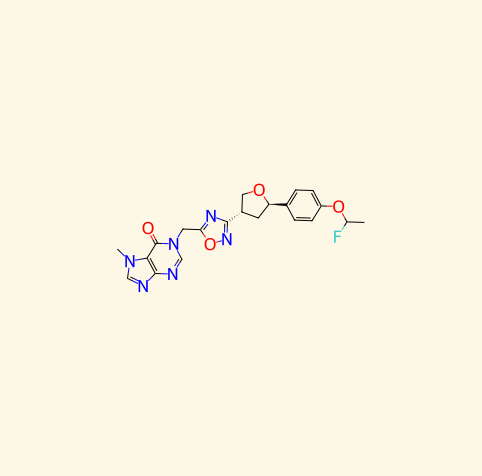 CC(F)Oc1ccc([C@H]2C[C@H](c3noc(Cn4cnc5ncn(C)c5c4=O)n3)CO2)cc1